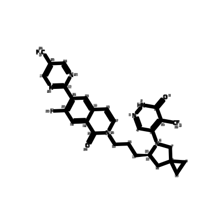 O=c1[nH]ncc(N2CC3(CC3)C[C@H]2CCCn2ccc3cc(-c4ncc(C(F)(F)F)cn4)c(F)cc3c2=O)c1C(F)(F)F